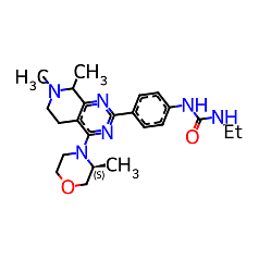 CCNC(=O)Nc1ccc(-c2nc3c(c(N4CCOC[C@@H]4C)n2)CCN(C)C3C)cc1